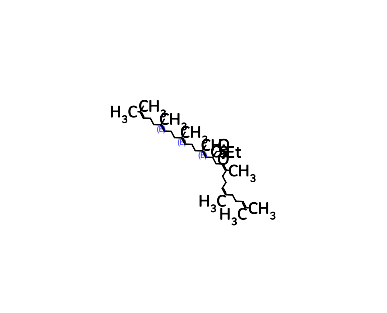 CCS(=O)(=O)OC(/C=C(\C)CC/C=C(\C)CC/C=C(\C)CCC=C(C)C)CC=C(C)CCC=C(C)CCC=C(C)C